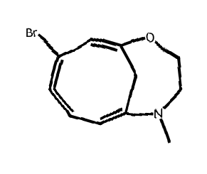 CN1CCO/C2=C/C(Br)=C=C/C=C/1C2